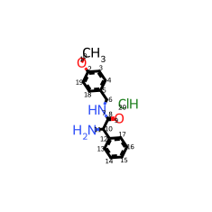 COc1ccc(CNC(=O)C(N)c2ccccc2)cc1.Cl